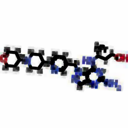 CCC[C@@H](CCO)Nc1nc(N)nc2cnn(Cc3ccc(C4CCN(C5CCOCC5)CC4)nc3)c12